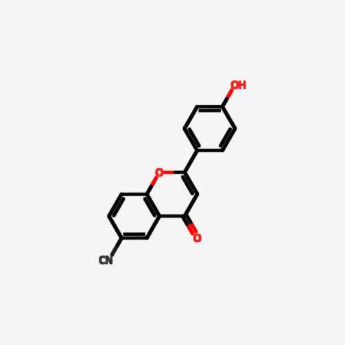 [C-]#[N+]c1ccc2oc(-c3ccc(O)cc3)cc(=O)c2c1